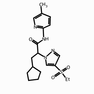 CCS(=O)(=O)c1cnn(C(CC2CCCC2)C(=O)Nc2ccc(C)cn2)c1